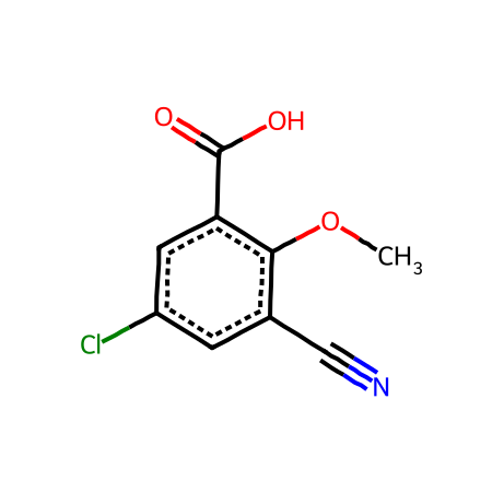 COc1c(C#N)cc(Cl)cc1C(=O)O